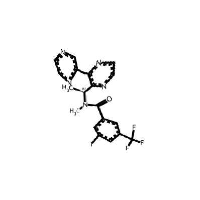 C[C@@H](c1nccnc1-c1cnccn1)N(C)C(=O)c1cc(I)cc(C(F)(F)F)c1